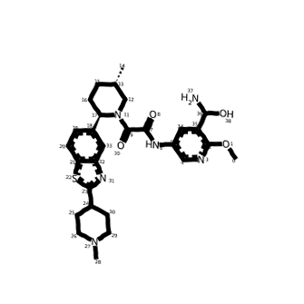 COc1ncc(NC(=O)C(=O)N2C[C@@H](C)CC[C@@H]2c2ccc3sc(C4CCN(C)CC4)nc3c2)cc1C(N)O